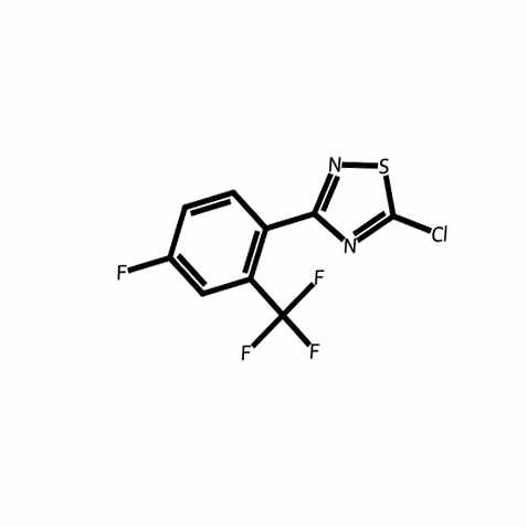 Fc1ccc(-c2nsc(Cl)n2)c(C(F)(F)F)c1